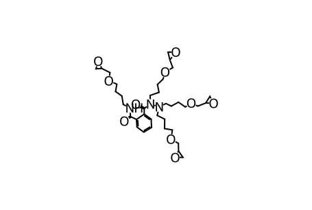 O=C(NCCCCOCC1CO1)c1ccccc1C(=O)N(CCCCOCC1CO1)N(CCCCOCC1CO1)CCCCOCC1CO1